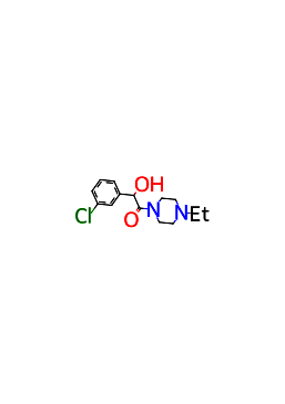 CCN1CCN(C(=O)C(O)c2cccc(Cl)c2)CC1